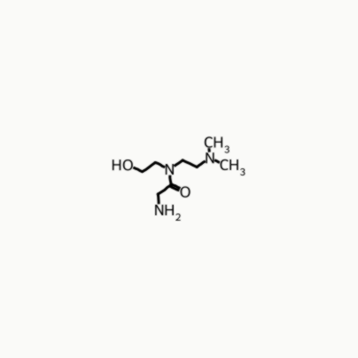 CN(C)CCN(CCO)C(=O)CN